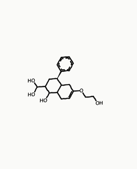 OCCOC1=CCC2C(O)C(C(O)O)C[C@@H](c3ccccc3)C2C1